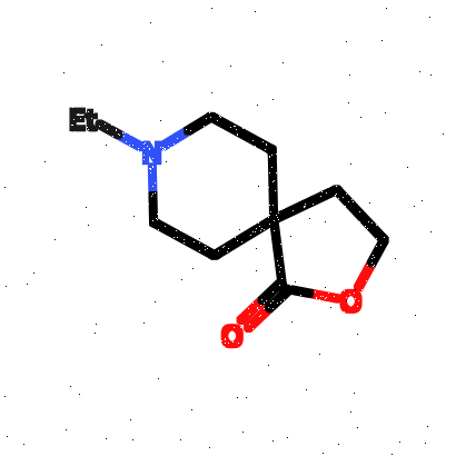 CCN1CCC2(CCOC2=O)CC1